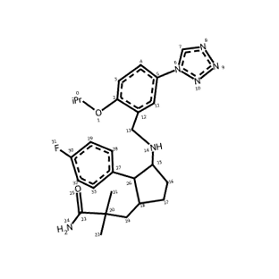 CC(C)Oc1ccc(-n2cnnn2)cc1CNC1CCC(CC(C)(C)C(N)=O)C1c1ccc(F)cc1